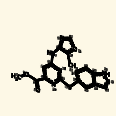 COC(=O)c1cc(Nc2ncoc2C)nc(Sc2ccc3[nH]ncc3c2)n1